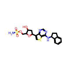 NS(=O)(=O)OCC1OC(c2csc3c(NC4CCc5ccccc54)ncnc23)CC1O